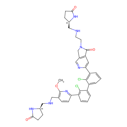 COc1nc(-c2cccc(-c3cccc(-c4cc5c(cn4)CN(CCNC[C@H]4CCC(=O)N4)C5=O)c3Cl)c2Cl)ccc1CNC[C@H]1CCC(=O)N1